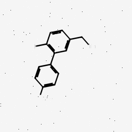 COc1ccc(-c2cc(CC(C)C)ccc2I)cc1